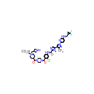 Cn1c(-c2cn(-c3ccc(NCC4CC4(F)F)cn3)nc2C(F)(F)F)cnc1C(=O)Nc1ccc(C(=O)N2CCN(C(=O)C3CC[N+](CC(=O)O)(CC4CNC4)CC3)CC2)c(Cl)c1